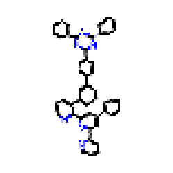 c1ccc(-c2cc(-c3ccccn3)nc(-c3ncccc3-c3cccc(-c4ccc(-c5nc(-c6ccccc6)nc(-c6ccccc6)n5)cc4)c3)c2)cc1